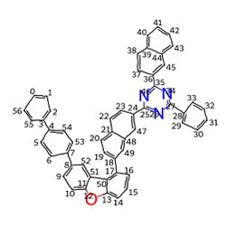 c1ccc(-c2ccc(-c3ccc4oc5cccc(-c6ccc7ccc(-c8nc(-c9ccccc9)nc(-c9ccc%10ccccc%10c9)n8)cc7c6)c5c4c3)cc2)cc1